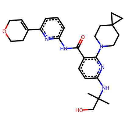 CC(C)(CO)Nc1ccc(C(=O)Nc2cccc(C3=CCOCC3)n2)c(N2CCC3(CC2)CC3)n1